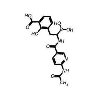 CC(=O)Nc1ccc(C(=O)NC(Cc2cccc(C(=O)O)c2O)B(O)O)cn1